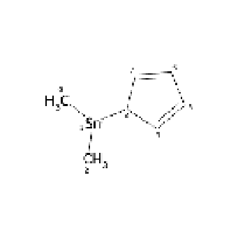 [CH3][Sn]([CH3])[CH]1C=CC=C1